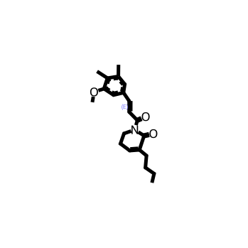 CCCCC1=CCCN(C(=O)/C=C/c2cc(C)c(C)c(OC)c2)C1=O